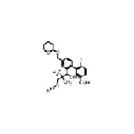 COc1ccc(F)c(-c2ccc(COC3CCCCO3)cc2C(OC)C(C)(C)CN=[N+]=[N-])c1